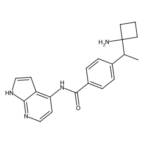 CC(c1ccc(C(=O)Nc2ccnc3[nH]ccc23)cc1)C1(N)CCC1